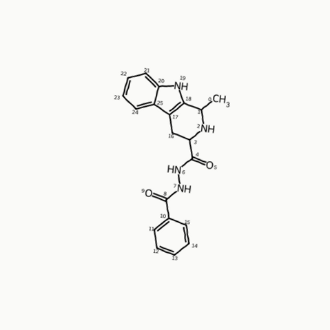 CC1NC(C(=O)NNC(=O)c2ccccc2)Cc2c1[nH]c1ccccc21